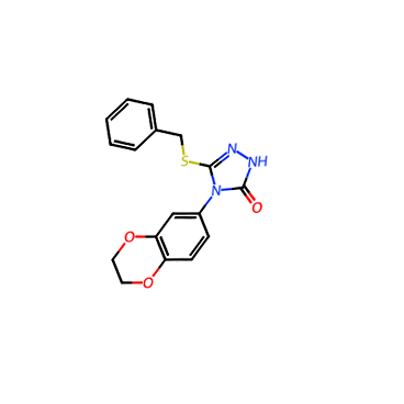 O=c1[nH]nc(SCc2ccccc2)n1-c1ccc2c(c1)OCCO2